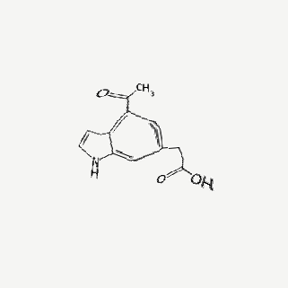 CC(=O)c1cc(CC(=O)O)cc2[nH]ccc12